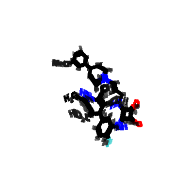 COc1cccc(C2CCN(CCCNc3c(Nc4cc(C5C(C(=O)O)=C(C)NC(C)=C5C(=O)O)ccc4F)c(=O)c3=O)CC2)c1